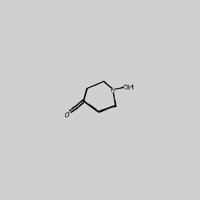 O=C1CCN(O)CC1